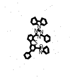 c1ccc(-c2cc(-c3nc4ccccc4o3)c3sc4c(-c5nc(-c6ccccc6)nc(-n6c7ccccc7c7ccccc76)n5)cccc4c3c2)cc1